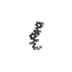 O=C(O)CCNC(=O)c1cccc(S(=O)(=O)NCC2CCNCC2)c1